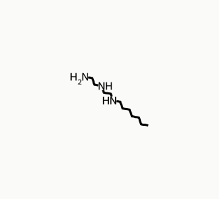 CCCCCCCNCCNCCN